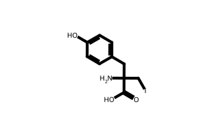 NC(CI)(Cc1ccc(O)cc1)C(=O)O